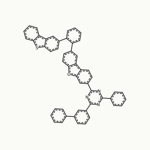 c1ccc(-c2cccc(-c3nc(-c4ccccc4)nc(-c4ccc5c(c4)oc4ccc(-c6ccccc6-c6ccc7sc8ccccc8c7c6)cc45)n3)c2)cc1